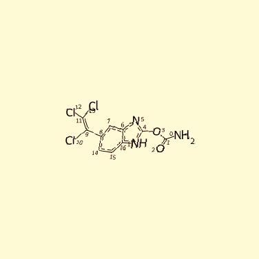 NC(=O)Oc1nc2cc(C(Cl)=C(Cl)Cl)ccc2[nH]1